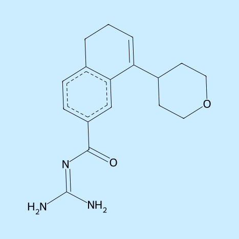 NC(N)=NC(=O)c1ccc2c(c1)C(C1CCOCC1)=CCC2